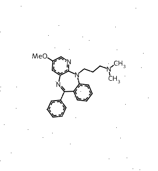 COc1cnc2c(c1)N=C(c1ccccc1)c1ccccc1N2CCCN(C)C